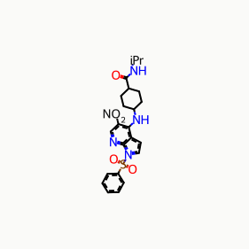 CC(C)NC(=O)C1CCC(Nc2c([N+](=O)[O-])cnc3c2ccn3S(=O)(=O)c2ccccc2)CC1